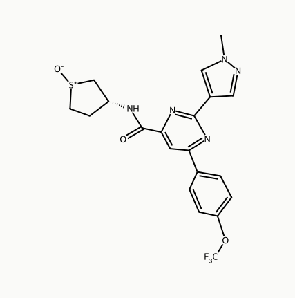 Cn1cc(-c2nc(C(=O)N[C@@H]3CC[S+]([O-])C3)cc(-c3ccc(OC(F)(F)F)cc3)n2)cn1